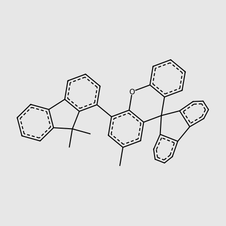 Cc1cc(-c2cccc3c2C(C)(C)c2ccccc2-3)c2c(c1)C1(c3ccccc3O2)c2ccccc2-c2ccccc21